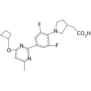 Cc1cc(OC2CCC2)nc(-c2cc(F)c(N3CCC(CC(=O)O)C3)c(F)c2)n1